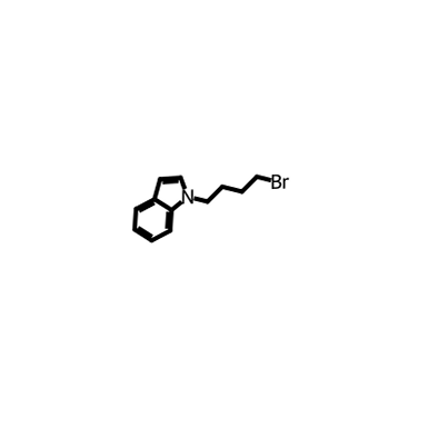 BrCCCCn1ccc2ccccc21